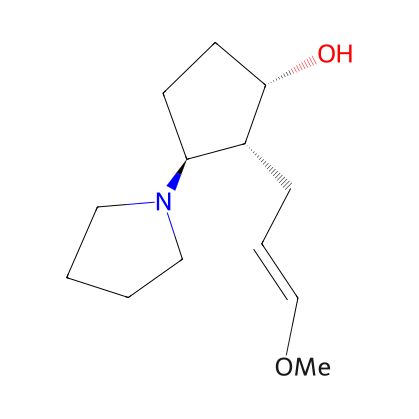 COC=CC[C@H]1[C@@H](O)CC[C@@H]1N1CCCC1